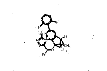 CC[C@H](O[C@@]12CC[C@@H](c3cc(-c4c(F)cccc4F)nnc31)C2(C)C)c1nnc(C)o1